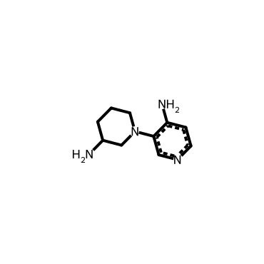 Nc1ccncc1N1CCCC(N)C1